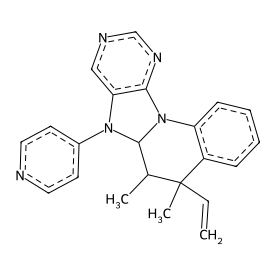 C=CC1(C)c2ccccc2N2c3ncncc3N(c3ccncc3)C2C1C